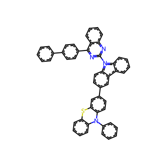 c1ccc(-c2ccc(-c3nc(-n4c5ccccc5c5cc(-c6ccc7c(c6)Sc6ccccc6N7c6ccccc6)ccc54)nc4ccccc34)cc2)cc1